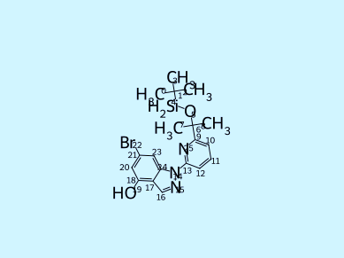 CC(C)(C)[SiH2]OC(C)(C)c1cccc(-n2ncc3c(O)cc(Br)cc32)n1